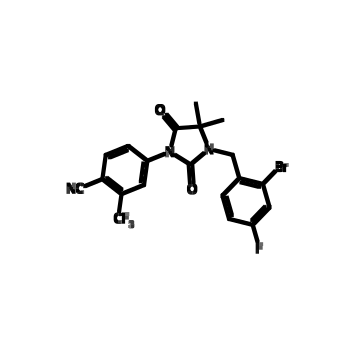 CC1(C)C(=O)N(c2ccc(C#N)c(C(F)(F)F)c2)C(=O)N1Cc1ccc(F)cc1Br